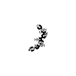 CN1CCN(c2ccc(Nc3ncc4c(-c5ccn6ncc(C(=O)NC7CCOCC7)c6c5)c[nH]c4n3)cn2)CC1